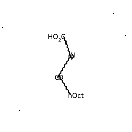 CCCCCCCCC=CCCCCCCCCOC(=O)CCCCCCCCCCCN1CCN=C1CCCCCCCCCCC(=O)O